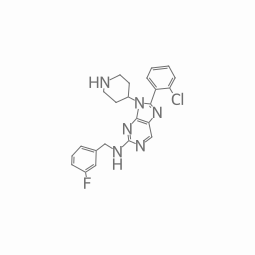 Fc1cccc(CNc2ncc3nc(-c4ccccc4Cl)n(C4CCNCC4)c3n2)c1